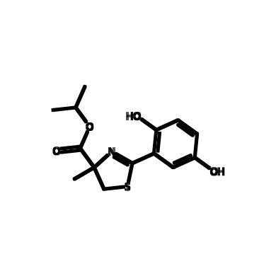 CC(C)OC(=O)C1(C)CSC(c2cc(O)ccc2O)=N1